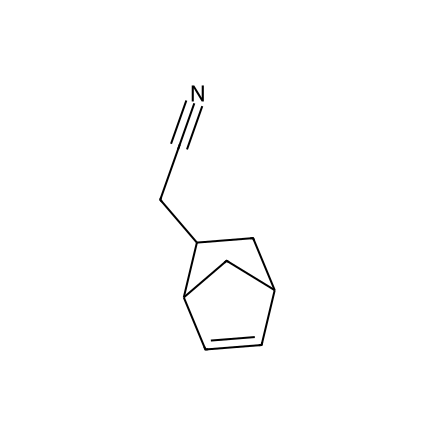 N#CCC1CC2C=CC1C2